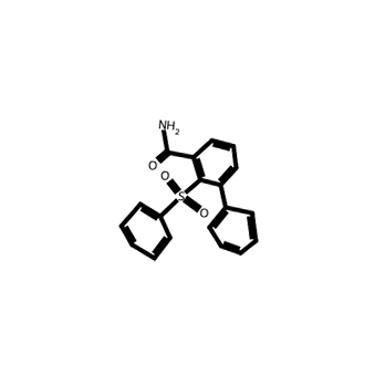 NC(=O)c1cccc(-c2ccccc2)c1S(=O)(=O)c1ccccc1